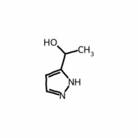 CC(O)c1ccn[nH]1